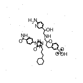 NC(=O)c1ccc(-n2nnn(CCCC3CCCCC3)c2=O)cc1.Nc1ccc(C(O)CNCC2CCc3cc(S(=O)(=O)O)ccc3O2)cn1